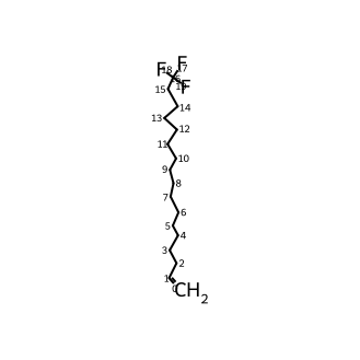 C=CCCCCCCCCCCCCCCC(F)(F)F